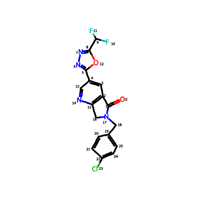 O=C1c2cc(-c3nnc(C(F)F)o3)cnc2CN1Cc1ccc(Cl)cc1